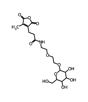 CC1=C(CCC(=O)NCCOCCOC2OC(CO)C(O)C(O)C2O)C(=O)OC1=O